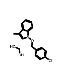 Cc1cn(OCc2ccc(Cl)cc2)c2ccccc12.OCO